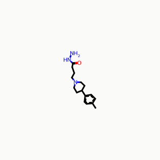 Cc1ccc(C2CCN(CCCC(=O)NN)CC2)cc1